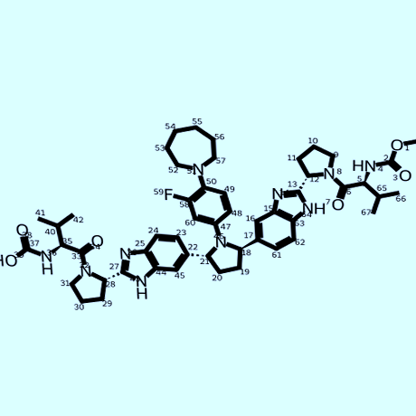 COC(=O)N[C@H](C(=O)N1CCC[C@H]1c1nc2cc([C@H]3CC[C@H](c4ccc5nc([C@@H]6CCCN6C(=O)[C@@H](NC(=O)O)C(C)C)[nH]c5c4)N3c3ccc(N4CCCCCC4)c(F)c3)ccc2[nH]1)C(C)C